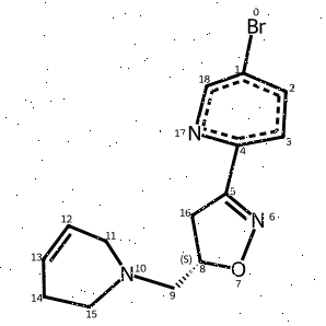 Brc1ccc(C2=NO[C@H](CN3CC=CCC3)C2)nc1